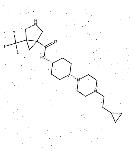 O=C(N[C@H]1CC[C@@H](N2CCN(CCC3CC3)CC2)CC1)C12CNCC1(C(F)(F)F)C2